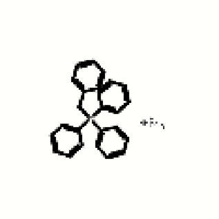 N.O.[OH-].c1ccc(C[P+](c2ccccc2)(c2ccccc2)c2ccccc2)cc1